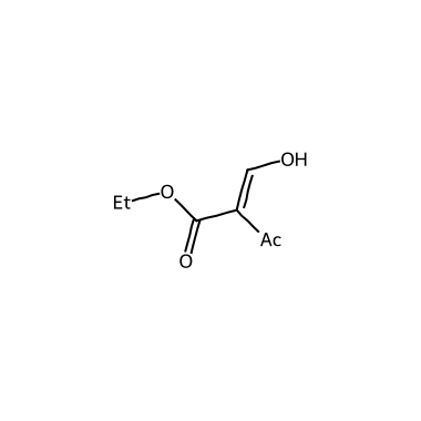 CCOC(=O)C(=CO)C(C)=O